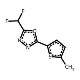 Cc1ccc(-c2nnc(C(F)F)o2)s1